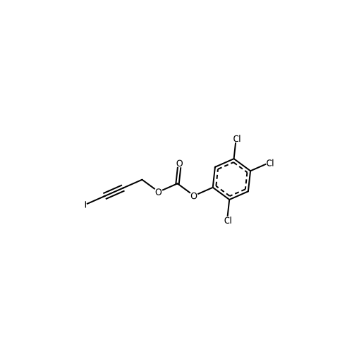 O=C(OCC#CI)Oc1cc(Cl)c(Cl)cc1Cl